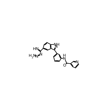 N=C(/N=N\N)c1ccc2[nH]nc(-c3cccc(NC(=O)c4cccnc4)c3)c2c1